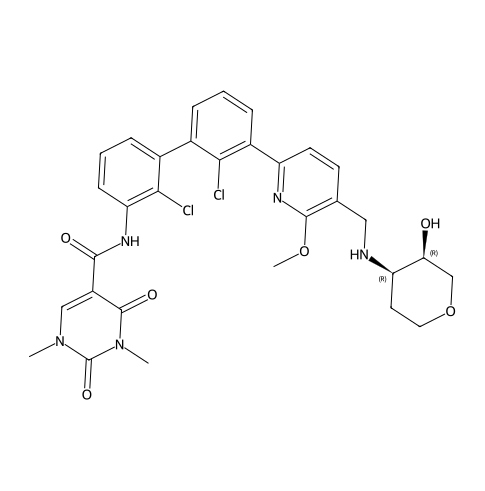 COc1nc(-c2cccc(-c3cccc(NC(=O)c4cn(C)c(=O)n(C)c4=O)c3Cl)c2Cl)ccc1CN[C@@H]1CCOC[C@@H]1O